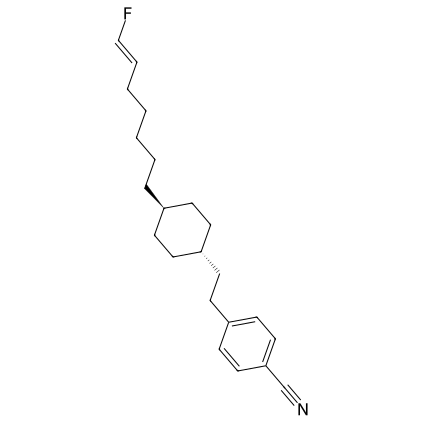 N#Cc1ccc(CC[C@H]2CC[C@H](CCCCCC=CF)CC2)cc1